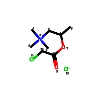 CC(C[N+](C)(C)C)OC(=O)CCl.[Cl-]